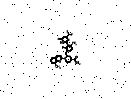 Cc1cccc2ccc(N3CCC(C(N)=O)CC3Cc3ccc(C(F)(F)F)c(-c4nc(C(F)F)cc(=O)[nH]4)c3F)nc12